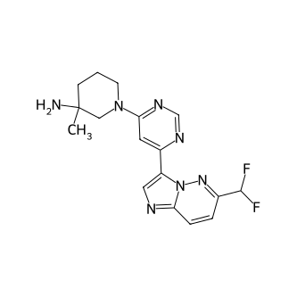 CC1(N)CCCN(c2cc(-c3cnc4ccc(C(F)F)nn34)ncn2)C1